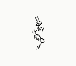 N#Cc1ccc2cc(C(=O)NC3CC4CC3CN4)ncn12